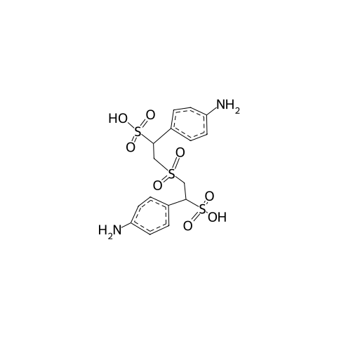 Nc1ccc(C(CS(=O)(=O)CC(c2ccc(N)cc2)S(=O)(=O)O)S(=O)(=O)O)cc1